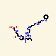 CCc1cc(NC2CCN(C(=O)CCNCC(=O)O)CC2)nc(NCc2nnc(CCCNCCCNC3CCCCC3)s2)n1